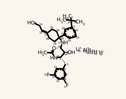 CC(=O)N[C@@H](Cc1cc(F)cc(F)c1)[C@H](O)CNC1(c2cccc(C(C)(C)C)c2)CCC(=CCO)CC1.[Al+3].[H-].[H-].[H-].[H-].[Li+]